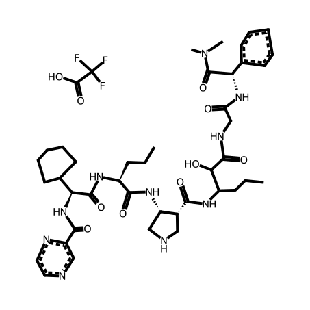 CCCC(NC(=O)[C@@H]1CNC[C@@H]1NC(=O)[C@H](CCC)NC(=O)[C@@H](NC(=O)c1cnccn1)C1CCCCC1)C(O)C(=O)NCC(=O)N[C@H](C(=O)N(C)C)c1ccccc1.O=C(O)C(F)(F)F